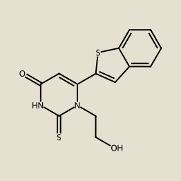 O=c1cc(-c2cc3ccccc3s2)n(CCO)c(=S)[nH]1